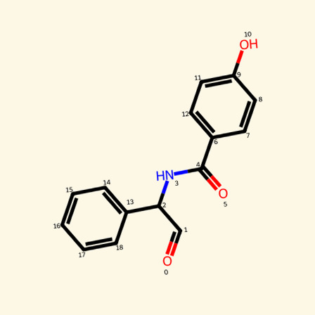 O=[C]C(NC(=O)c1ccc(O)cc1)c1ccccc1